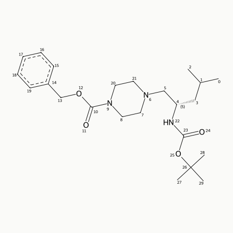 CC(C)C[C@@H](CN1CCN(C(=O)OCc2ccccc2)CC1)NC(=O)OC(C)(C)C